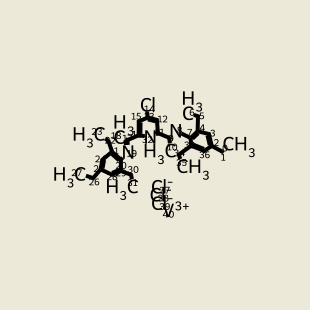 CCc1cc(CC)c(N=C(C)c2cc(Cl)cc(C(C)=Nc3c(CC)cc(CC)cc3CC)n2)c(CC)c1.[Cl-].[Cl-].[Cl-].[V+3]